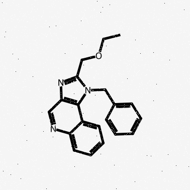 CCOCc1nc2cnc3ccccc3c2n1Cc1ccccc1